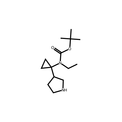 CCN(C(=O)OC(C)(C)C)C1(C2CCNC2)CC1